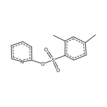 Cc1ccc(S(=O)(=O)Oc2ccccn2)c(C)c1